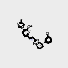 COc1nc(/C=C/c2nc3n(n2)CCC[C@H]3c2cccc(Cl)c2)ccc1-n1cnc(C)c1